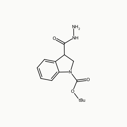 CC(C)(C)OC(=O)N1CC(C(=O)NN)c2ccccc21